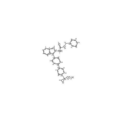 O=C(Nc1oc2ccccc2c1-c1ccc(-c2ccc(C3(C(=O)O)CC3)cc2)cc1)OCc1ccccc1